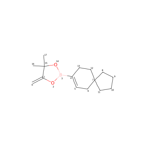 C=C1OB(C2=CCC3(CCCC3)CC2)OC1(C)C